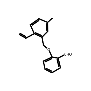 C=Cc1ccc(C)cc1COc1ccccc1C=O